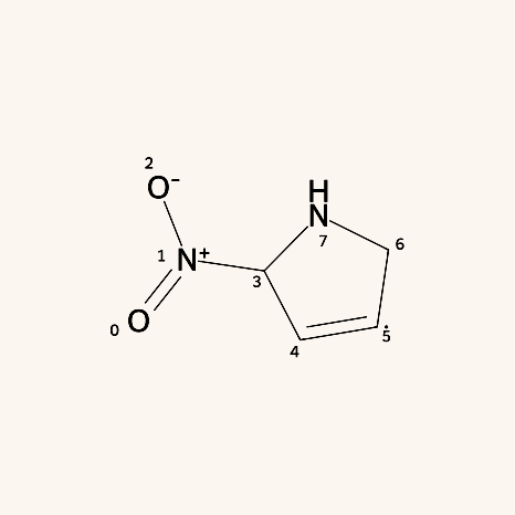 O=[N+]([O-])C1C=[C]CN1